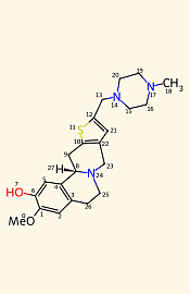 COc1cc2c(cc1O)[C@@H]1Cc3sc(CN4CCN(C)CC4)cc3CN1CC2